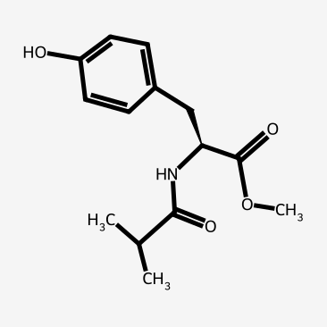 COC(=O)[C@H](Cc1ccc(O)cc1)NC(=O)C(C)C